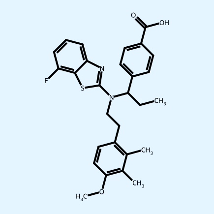 CCC(c1ccc(C(=O)O)cc1)N(CCc1ccc(OC)c(C)c1C)c1nc2cccc(F)c2s1